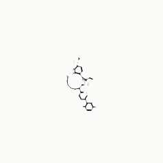 C=Cc1[nH]c2nc1-c1ccc(NC=O)cc1NC(=O)CCCCC2c1ccc(-c2c(F)ccc(Cl)c2F)cn1